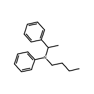 CCCCN(c1ccccc1)C(C)c1ccccc1